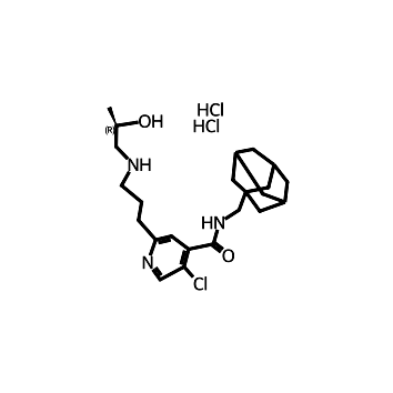 C[C@@H](O)CNCCCc1cc(C(=O)NCC23CC4CC(CC(C4)C2)C3)c(Cl)cn1.Cl.Cl